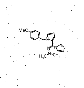 COc1ccc(Cn2cccc2/C(=N/N(C)C)n2ccnc2)cc1